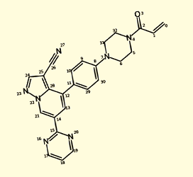 C=CC(=O)N1CCN(c2ccc(-c3cc(-c4ncccn4)cn4ncc(C#N)c34)cc2)CC1